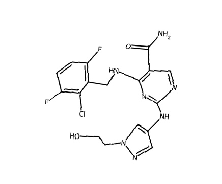 NC(=O)c1cnc(Nc2cnn(CCO)c2)nc1NCc1c(F)ccc(F)c1Cl